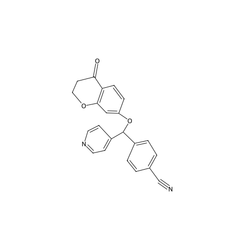 N#Cc1ccc(C(Oc2ccc3c(c2)OCCC3=O)c2ccncc2)cc1